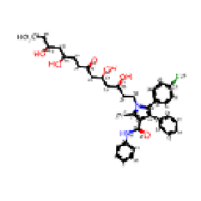 CC(C)c1c(C(=O)Nc2ccccc2)c(-c2ccccc2)c(-c2ccc(F)cc2)n1CCC(O)CC(O)CC(=O)CCC(O)CC(O)CC(=O)O